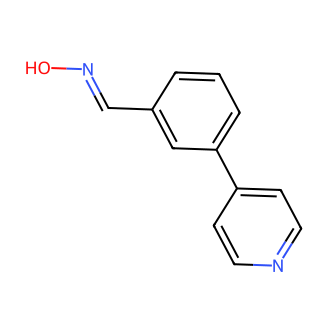 ON=Cc1cccc(-c2ccncc2)c1